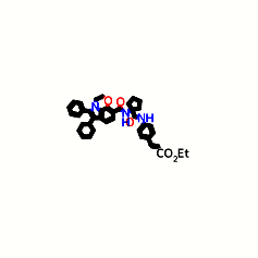 CCOC(=O)/C=C/c1ccc(NC(=O)C2(NC(=O)c3ccc4c(C5CCCCC5)c(-c5ccccc5)n5c4c3OCC5)CCCC2)cc1